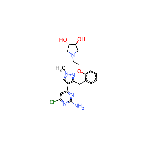 Cn1cc(-c2cc(Cl)nc(N)n2)c(Cc2ccccc2OCCN2C[C@H](O)[C@@H](O)C2)n1